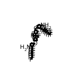 Nc1ccc(Oc2ccc(C(c3ccc(Oc4ccc(N)c(C(F)(F)C(F)(F)C(F)(F)C(F)(F)C(F)(F)C(F)(F)F)c4)cc3)(C(F)(F)F)C(F)(F)F)cc2)cc1C(F)(F)C(F)(F)C(F)(F)C(F)(F)C(F)(F)C(F)(F)F